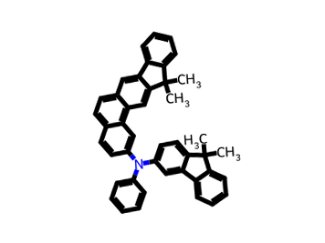 CC1(C)c2ccccc2-c2cc(N(c3ccccc3)c3ccc4ccc5cc6c(cc5c4c3)C(C)(C)c3ccccc3-6)ccc21